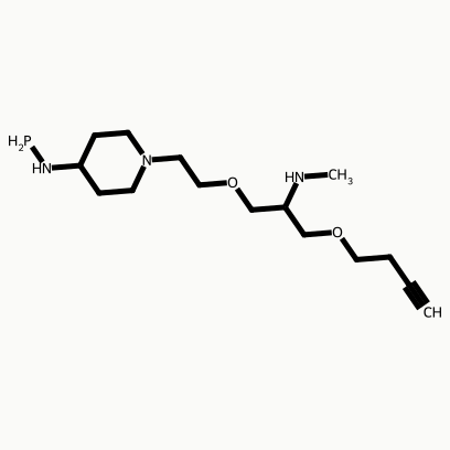 C#CCCOCC(COCCN1CCC(NP)CC1)NC